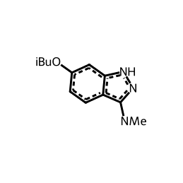 CNc1n[nH]c2cc(OCC(C)C)ccc12